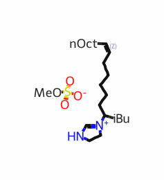 CCCCCCCC/C=C\CCCCCC(C(C)CC)[N+]1=CNCC1.COS(=O)(=O)[O-]